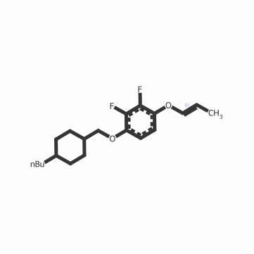 C/C=C/Oc1ccc(OCC2CCC(CCCC)CC2)c(F)c1F